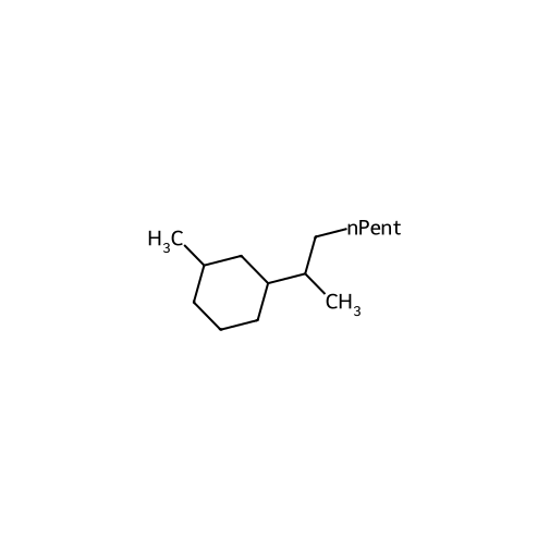 CCCCCCC(C)C1CCCC(C)C1